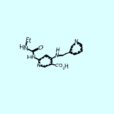 CCNC(=O)Nc1cc(NCc2cccnc2)c(C(=O)O)cn1